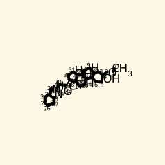 COC[C@@]1(O)CC[C@H]2[C@@H](CC[C@@H]3[C@@H]2CC[C@]2(C)[C@@H](C(=O)Cn4cc5ccccc5n4)CC[C@@H]32)C1